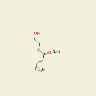 O=C(O)CCC(=O)OCCO.[NaH]